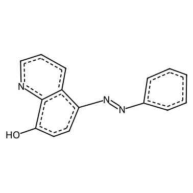 Oc1ccc(N=Nc2ccccc2)c2cccnc12